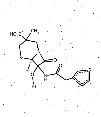 CCOC1(NC(=O)Cc2ccsc2)C(=O)N2CC(C)(C(=O)O)CS[C@@H]21